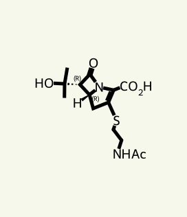 CC(=O)NCCSC1=C(C(=O)O)N2C(=O)[C@@H](C(C)(C)O)[C@H]2C1